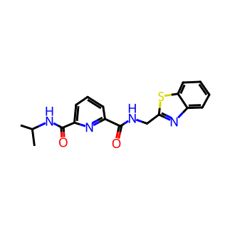 CC(C)NC(=O)c1cccc(C(=O)NCc2nc3ccccc3s2)n1